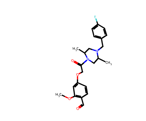 COc1cc(OCC(=O)N2CC(C)N(Cc3ccc(F)cc3)CC2C)ccc1C=O